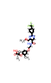 COCc1nc(-c2ccc(C(F)(F)F)cc2)ncc1C(=O)NCCOc1ccc(OC(C)(C)C(=O)O)c(C)c1